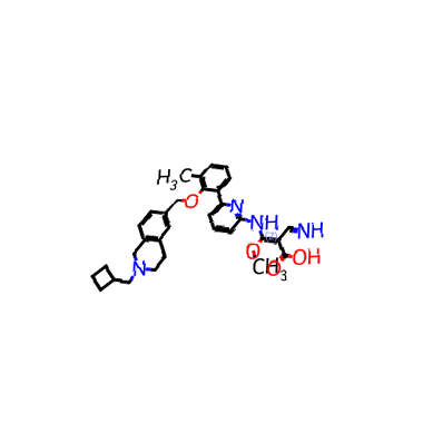 CO/C(Nc1cccc(-c2cccc(C)c2OCc2ccc3c(c2)CCN(CC2CCC2)C3)n1)=C(/C=N)C(=O)O